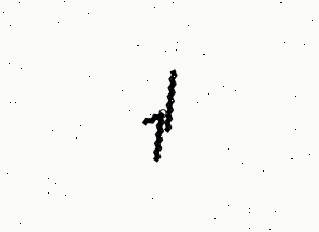 CCCCCCCCCCC(CCCC)OC(CCCC)CCCCCCCCCC